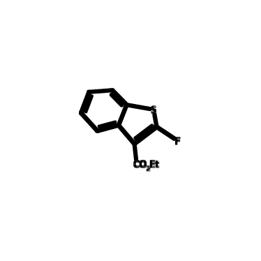 CCOC(=O)c1c(F)sc2ccccc12